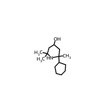 CC1(C)CC(O)CC(C)(C2CCCCC2)N1